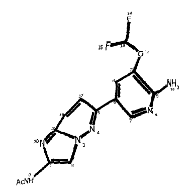 CC(=O)Nc1cn2nc(-c3cnc(N)c(OC(F)F)c3)ccc2n1